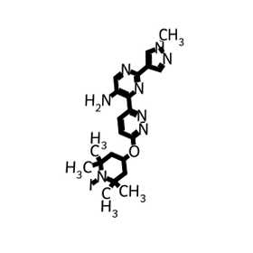 Cn1cc(-c2ncc(N)c(-c3ccc(OC4CC(C)(C)N(I)C(C)(C)C4)nn3)n2)cn1